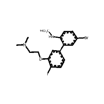 CN(C)CCOc1cc(-c2cc(Br)ccc2NC(=O)O)ccc1I